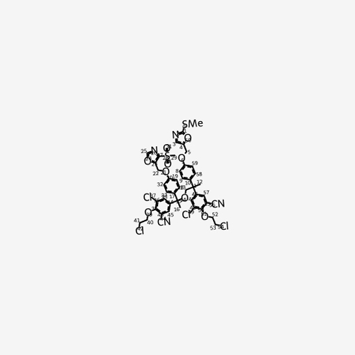 CSc1ncc(COc2ccc(C(C)(COC(C)(c3ccc(OCc4ocnc4S(C)(=O)=O)cc3)c3cc(Cl)c(OCCCl)c(C#N)c3)c3cc(Cl)c(OCCCl)c(C#N)c3)cc2)o1